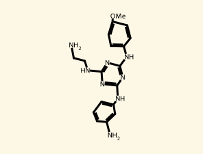 COc1ccc(Nc2nc(NCCN)nc(Nc3cccc(N)c3)n2)cc1